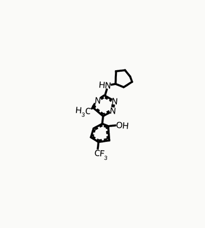 Cc1nc(NC2CCCCC2)nnc1-c1ccc(C(F)(F)F)cc1O